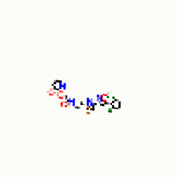 COc1cccnc1OCC(=O)N1CCC(c2nc(C3=NO[C@H](c4c(F)cccc4Cl)C3)cs2)CC1